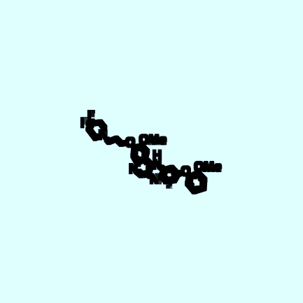 COc1cc2c(Nc3cccc(Oc4ccccc4OC)c3)c(N)cnc2cc1OCCCN1CCC(F)(F)CC1